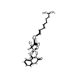 CC(O)CCCCCCCOC(=O)C(F)(F)S(=O)(=O)ON1C(=O)Cc2ccccc2C1=O